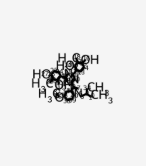 CCC(CC)Cn1cc(-c2nc(-c3ccc(O)c(C)c3O)nc(-c3ccc(O)c(C)c3O)n2)c2cc(OC)ccc21